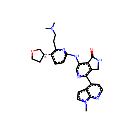 CN(C)CCc1nc(Nc2cnc(-c3ccnc4c3ccn4C)c3c2C(=O)NC3)ccc1[C@@H]1CCOC1